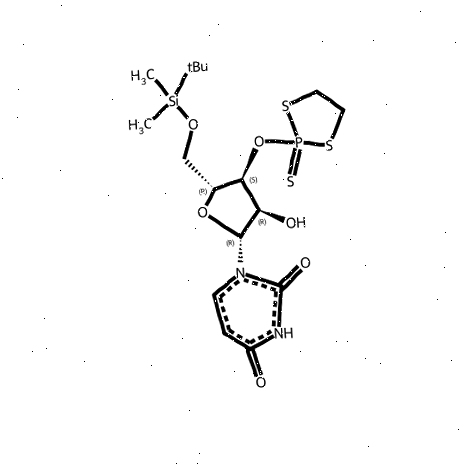 CC(C)(C)[Si](C)(C)OC[C@H]1O[C@@H](n2ccc(=O)[nH]c2=O)[C@H](O)[C@@H]1OP1(=S)SCCS1